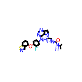 CC(C)NC(=O)NCCn1ccc2ncnc(Nc3ccc(Oc4cccc5sncc45)c(F)c3)c21